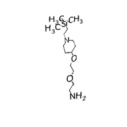 C[Si](C)(C)CCN1CCC(OCCOCCN)CC1